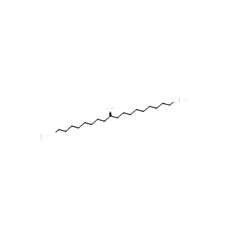 CCCCCCCCCCCCCCCCCCCC(=O)CCCCCCCCCCCCCCCCCC